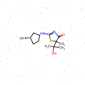 CCC[C@@H]1CC[C@@H](NC2=NC(=O)C(C)(C(C)(C)O)S2)C1